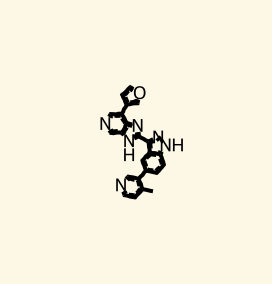 Cc1ccncc1-c1ccc2[nH]nc(-c3nc4c(-c5ccoc5)cncc4[nH]3)c2c1